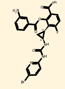 CCCC(=O)c1ccc(F)c([C@@H]2C[C@@H]2NC(=O)Nc2ccc(Br)cn2)c1OC(=O)c1cccc(N)c1